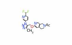 CC(=O)N1CCc2cc(OCc3c(C)nnn3-c3ccc(C(F)F)nc3)ncc2C1